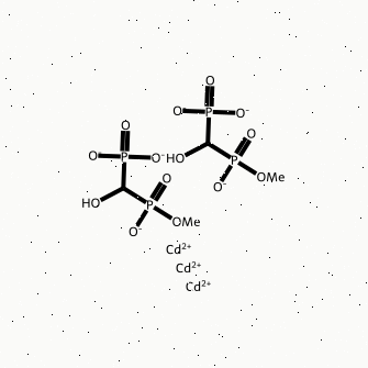 COP(=O)([O-])C(O)P(=O)([O-])[O-].COP(=O)([O-])C(O)P(=O)([O-])[O-].[Cd+2].[Cd+2].[Cd+2]